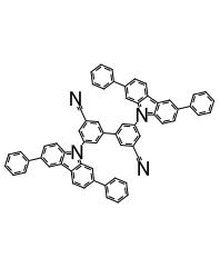 N#Cc1cc(-c2cc(C#N)cc(-n3c4ccc(-c5ccccc5)cc4c4ccc(-c5ccccc5)cc43)c2)cc(-n2c3ccc(-c4ccccc4)cc3c3ccc(-c4ccccc4)cc32)c1